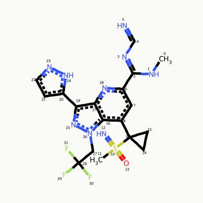 CN/C(=N\C=N)c1cc(C2(S(C)(=N)=O)CC2)c2c(n1)c(-c1ccn[nH]1)nn2CC(F)(F)F